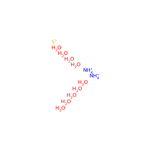 O.O.O.O.O.O.O.O.O.[NH4+].[NH4+].[S-2]